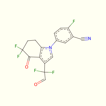 N#Cc1cc(-n2cc(C(F)(F)C=O)c3c2CCC(F)(F)C3=O)ccc1F